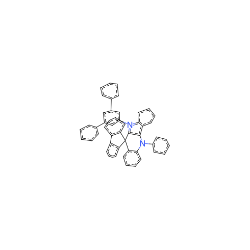 c1ccc(-c2cc(-c3ccccc3)cc(-n3c4c(c5ccccc53)N(c3ccccc3)c3ccccc3C43c4ccccc4-c4ccccc43)c2)cc1